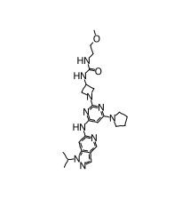 COCCNC(=O)NC1CN(c2nc(Nc3cc4c(cn3)cnn4C(C)C)cc(N3CCCC3)n2)C1